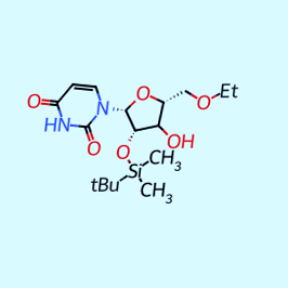 CCOC[C@H]1O[C@@H](n2ccc(=O)[nH]c2=O)[C@@H](O[Si](C)(C)C(C)(C)C)C1O